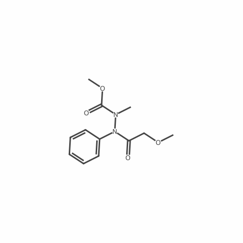 COCC(=O)N(c1ccccc1)N(C)C(=O)OC